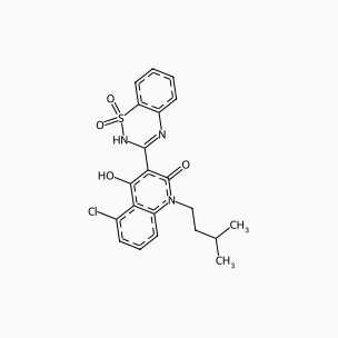 CC(C)CCn1c(=O)c(C2=Nc3ccccc3S(=O)(=O)N2)c(O)c2c(Cl)cccc21